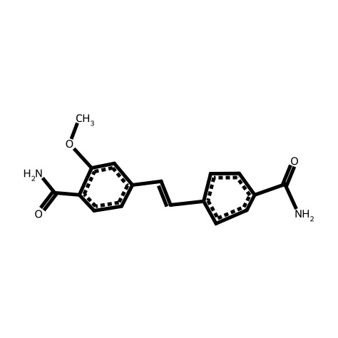 COc1cc(C=Cc2ccc(C(N)=O)cc2)ccc1C(N)=O